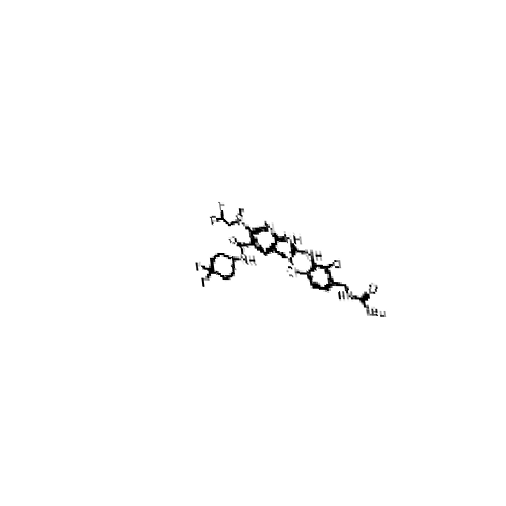 CN(CC(F)F)c1nc2[nH]c(Nc3c(Cl)ccc(CNC(=O)C(C)(C)C)c3Cl)nc2cc1C(=O)NC1CCC(F)(F)CC1